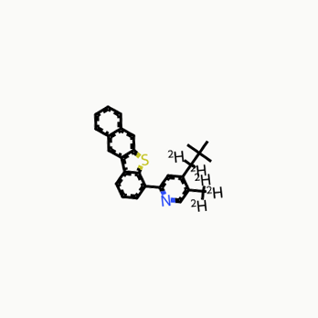 [2H]C([2H])([2H])c1cnc(-c2cccc3c2sc2cc4ccccc4cc23)cc1C([2H])([2H])C(C)(C)C